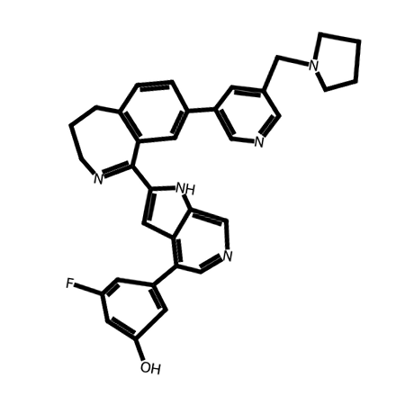 Oc1cc(F)cc(-c2cncc3[nH]c(C4=NCCCc5ccc(-c6cncc(CN7CCCC7)c6)cc54)cc23)c1